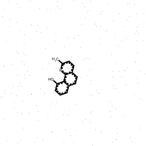 Cc1ccc2ccc3cccc(O)c3c2n1